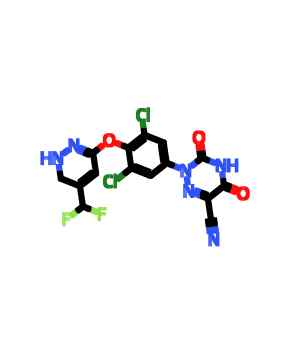 N#Cc1nn(-c2cc(Cl)c(OC3=NNCC(C(F)F)=C3)c(Cl)c2)c(=O)[nH]c1=O